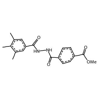 COC(=O)c1ccc(C(=O)NNC(=O)c2cc(C)c(C)c(C)c2)cc1